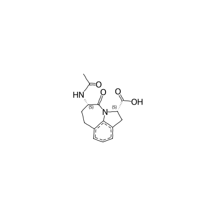 CC(=O)N[C@H]1CCc2cccc3c2N(C1=O)[C@H](C(=O)O)C3